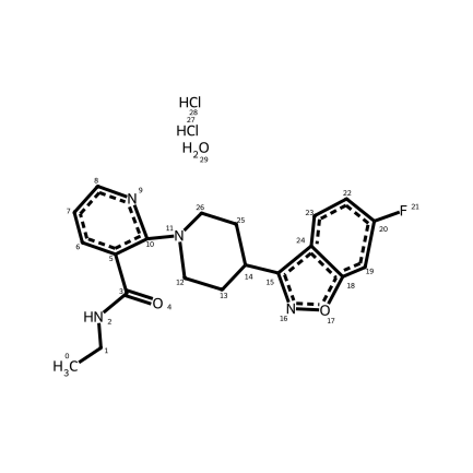 CCNC(=O)c1cccnc1N1CCC(c2noc3cc(F)ccc23)CC1.Cl.Cl.O